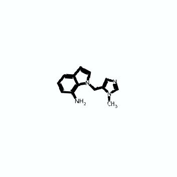 Cn1cncc1Cn1ccc2cccc(N)c21